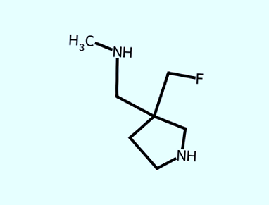 CNCC1(CF)CCNC1